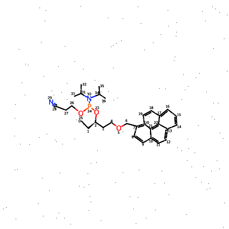 CC[C@H](CCOCc1ccc2ccc3cccc4ccc1c2c34)OP(OCCC#N)N(C(C)C)C(C)C